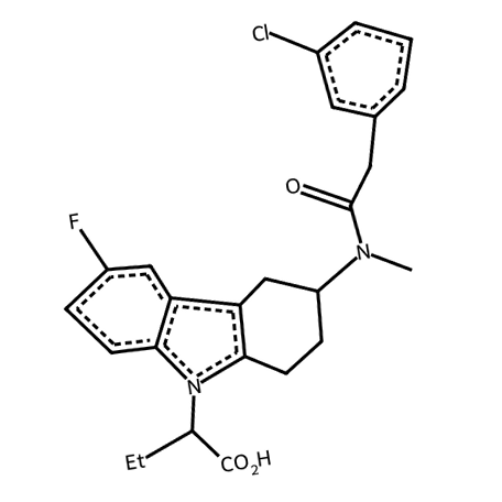 CCC(C(=O)O)n1c2c(c3cc(F)ccc31)CC(N(C)C(=O)Cc1cccc(Cl)c1)CC2